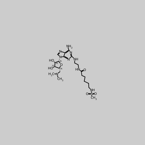 CN(C)C[C@H]1O[C@@H](n2cnc3c(N)nc(NCCNC(=O)CCCCCNS(C)(=O)=O)nc32)[C@H](O)[C@@H]1O